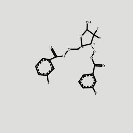 O=C(OOC[C@H]1OC(O)C(F)(F)[C@@H]1OOC(=O)c1cccc(F)c1)c1cccc(F)c1